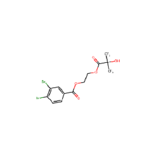 O=C(OCCOC(=O)C(O)(C(F)(F)F)C(F)(F)F)c1ccc(Br)c(Br)c1